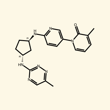 Cc1cnc(N[C@@H]2CC[C@@H](Nc3ccc(-n4cccc(C)c4=O)cn3)C2)nn1